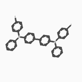 Ic1ccc(N(c2ccccc2)c2ccc(-c3ccc(N(c4ccccc4)c4ccc(I)cc4)cc3)cc2)cc1